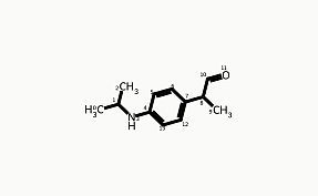 CC(C)Nc1ccc(C(C)C=O)cc1